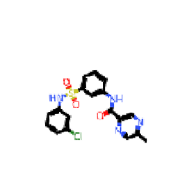 Cc1cnc(C(=O)Nc2cccc(S(=O)(=O)Nc3cccc(Cl)c3)c2)cn1